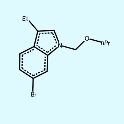 CCCOCn1cc(CC)c2ccc(Br)cc21